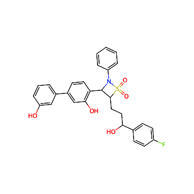 O=S1(=O)C(CCC(O)c2ccc(F)cc2)C(c2ccc(-c3cccc(O)c3)cc2O)N1c1ccccc1